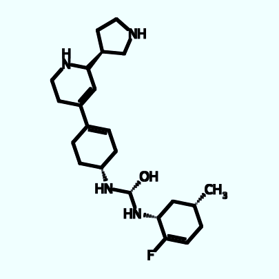 C[C@@H]1CC=C(F)[C@H](N[C@@H](O)N[C@H]2CC=C(C3=CC([C@H]4CCNC4)NCC3)CC2)C1